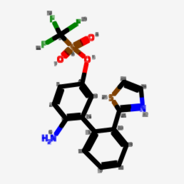 Nc1ccc(OS(=O)(=O)C(F)(F)F)cc1-c1ccccc1-c1nccs1